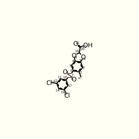 Cc1cc2c(cc1S(=O)(=O)c1cc(Cl)cc(Cl)c1)OC(C(=O)O)O2